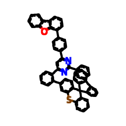 c1ccc(-c2nc(-c3ccc(-c4cccc5c4oc4ccccc45)cc3)cc(-c3ccccc3-c3ccc4c(c3)Sc3ccccc3C43c4ccccc4-c4ccccc43)n2)cc1